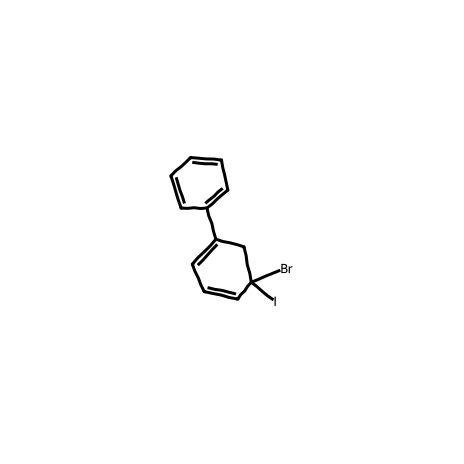 BrC1(I)C=CC=C(c2ccccc2)C1